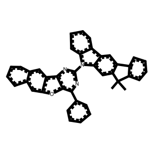 CC1(C)c2ccccc2-c2cc3c4ccccc4n(-c4nc(-c5ccccc5)c5oc6cc7ccccc7cc6c5n4)c3cc21